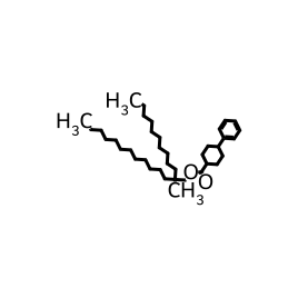 CCCCCCCCCCCCC(C)(CCCCCCCCCC)COC(=O)C1CCC(c2ccccc2)CC1